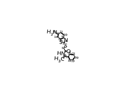 C[C@H](NC(=O)CSc1nc2ccc(N)cc2s1)c1ccccc1